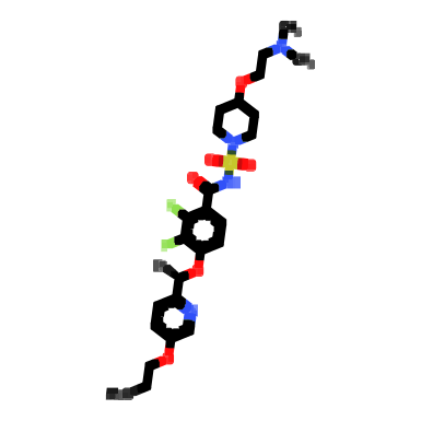 CC[C@@H](Oc1ccc(C(=O)NS(=O)(=O)N2CCC(OCCN(C)C)CC2)c(F)c1F)c1ccc(OCCOC)cn1